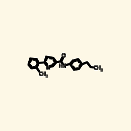 CCCc1ccc(NC(=O)c2ccc(-c3ccccc3C)nc2)cc1